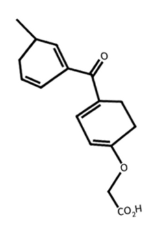 CC1C=C(C(=O)C2=CC=C(OCC(=O)O)CC2)C=CC1